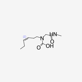 CC/C=C\CCN(CC(=O)NC)C(=O)O